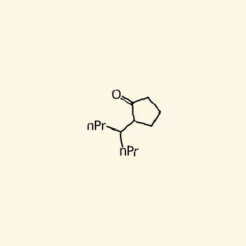 CCCC(CCC)C1CCCC1=O